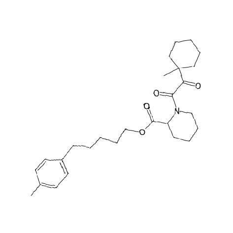 Cc1ccc(CCCCCOC(=O)C2CCCCN2C(=O)C(=O)C2(C)CCCCC2)cc1